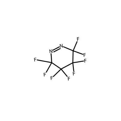 FC1(F)N=NC(F)(F)C(F)(F)C1(F)F